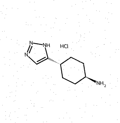 Cl.N[C@H]1CC[C@H](c2cnn[nH]2)CC1